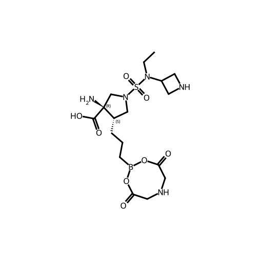 CCN(C1CNC1)S(=O)(=O)N1C[C@H](CCCB2OC(=O)CNCC(=O)O2)[C@](N)(C(=O)O)C1